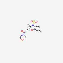 C=C/C=C1/OC(CCC(=O)N2CCOCC2)[C@@H](C)N([SH](=O)=O)/C1=C/C